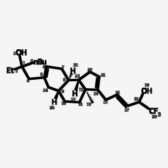 CCCCC(O)(CC)CC1=CC[C@@H]2[C@H](CC[C@]3(C)C(C/C=C/C(O)C(F)(F)F)=CC[C@@H]23)C1